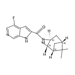 C[C@@H]1[C@@H](NC(=O)c2cc3c(F)cncc3[nH]2)C[C@H]2C[C@@H]1C2(C)C